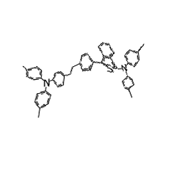 Cc1ccc(N(c2ccc(C)cc2)c2ccc(/C=C/c3ccc(-c4sc(N(c5ccc(C)cc5)c5ccc(C)cc5)c5ccccc45)cc3)cc2)cc1